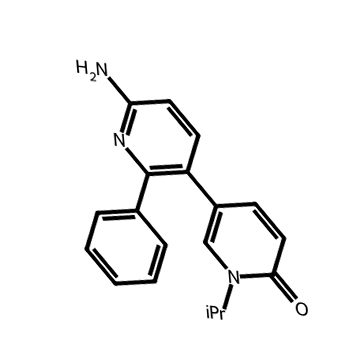 CC(C)n1cc(-c2ccc(N)nc2-c2ccccc2)ccc1=O